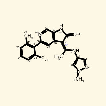 C/C(Nc1cnn(C)c1)=C1/C(=O)Nc2cnc(-c3c(C)cccc3F)cc21